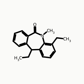 CCc1cccc2c1N(C)C(=O)c1ccccc1C2CC